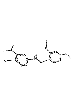 COc1ccc(CNc2cc(C(C)C)c(Cl)nn2)c(OC)c1